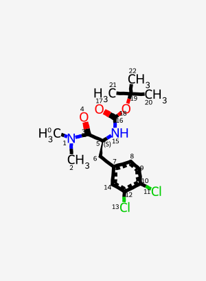 CN(C)C(=O)[C@H](Cc1ccc(Cl)c(Cl)c1)NC(=O)OC(C)(C)C